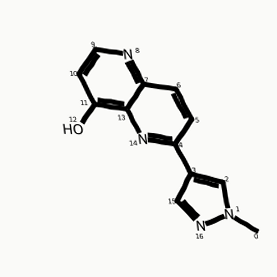 Cn1cc(-c2ccc3nccc(O)c3n2)cn1